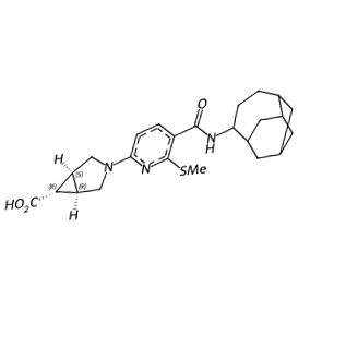 CSc1nc(N2C[C@@H]3[C@H](C2)[C@H]3C(=O)O)ccc1C(=O)NC1CCC2CC3CC2CC1C3